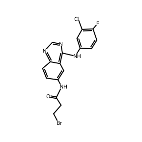 O=C(CCBr)Nc1ccc2ncnc(Nc3ccc(F)c(Cl)c3)c2c1